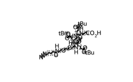 CC(C)(C)OC(=O)CC[C@@H](NC(=O)COCCOCCNC(=O)CCCCN=[N+]=[N-])C(=O)N[C@H](CCC(=O)OC(C)(C)C)C(=O)N[C@H](CCC(=O)OC(C)(C)C)C(=O)NCCC(=O)O